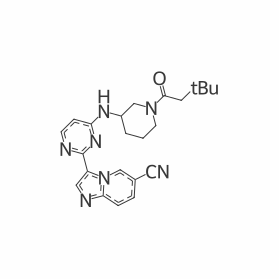 CC(C)(C)CC(=O)N1CCCC(Nc2ccnc(-c3cnc4ccc(C#N)cn34)n2)C1